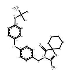 CCCCC1=NC2(CCCCC2)C(=O)N1Cc1ccc(Sc2ccc(OC(C)(C)C(=O)O)cc2)cc1